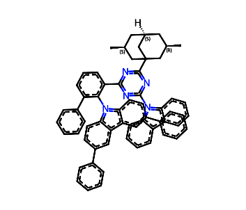 C[C@@H]1C[C@@H]2C[C@H](C)CC(c3nc(-c4cccc(-c5ccccc5)c4-n4c5ccc(-c6ccccc6)cc5c5cc(-c6ccccc6)ccc54)nc(-n4c5ccccc5c5ccccc54)n3)(C1)C2